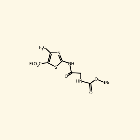 CCOC(=O)c1sc(NC(=O)CNC(=O)OC(C)(C)C)nc1C(F)(F)F